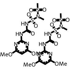 COc1cc(OC)nc(NC(=O)NS(=O)(=O)N(C)S(C)(=O)=O)n1.COc1cc(OC)nc(NC(=O)NS(=O)(=O)N(C)S(C)(=O)=O)n1